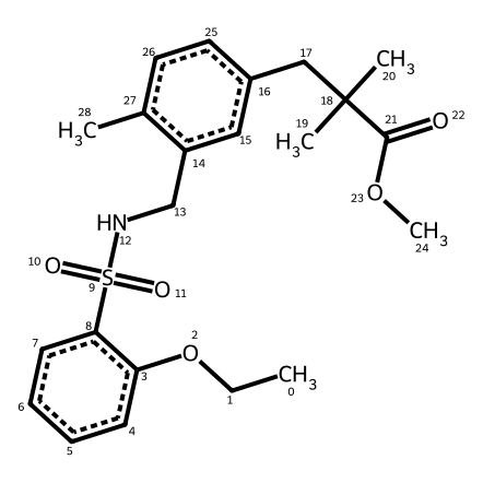 CCOc1ccccc1S(=O)(=O)NCc1cc(CC(C)(C)C(=O)OC)ccc1C